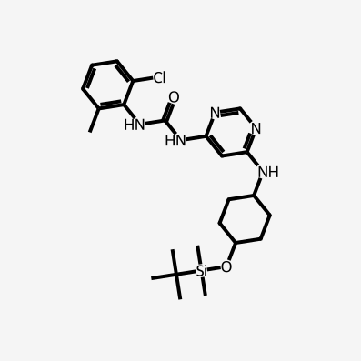 Cc1cccc(Cl)c1NC(=O)Nc1cc(NC2CCC(O[Si](C)(C)C(C)(C)C)CC2)ncn1